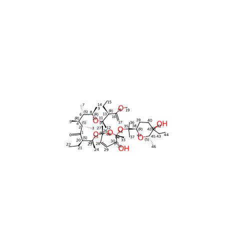 C=C([C@@H](C)[C@@H](C)[C@H](C)[C@@H](C)O[C@H](C)[C@@H](CC)C(=C)OC)[C@H](CC)[C@H](C)O[C@@]1(C)C=C[C@@H](O)[C@@](C)(OC(C)(C)[C@H]2CC[C@](O)(CC)[C@H](C)O2)O1